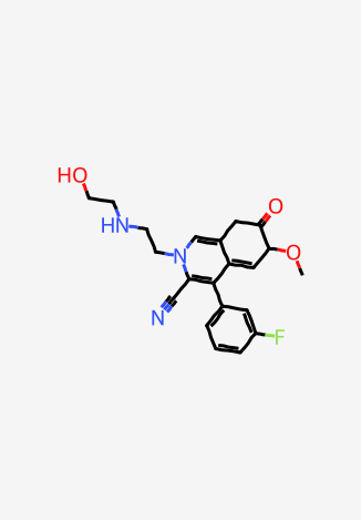 COC1C=C2C(=CN(CCNCCO)C(C#N)=C2c2cccc(F)c2)CC1=O